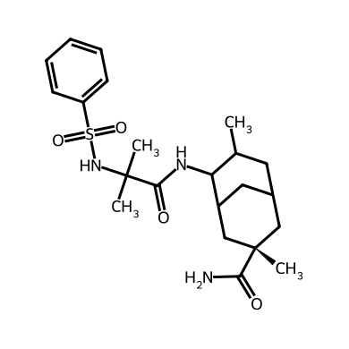 CC1CC2CC(C[C@@](C)(C(N)=O)C2)C1NC(=O)C(C)(C)NS(=O)(=O)c1ccccc1